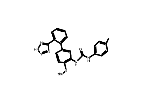 Cc1ccc(NC(=O)Nc2cc(-c3ccccc3-c3nn[nH]n3)ccc2SC(C)(C)C)cc1